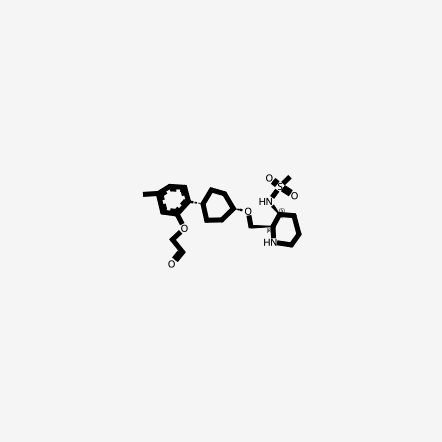 Cc1ccc([C@H]2CC[C@@H](OC[C@@H]3NCCC[C@@H]3NS(C)(=O)=O)CC2)c(OCC=O)c1